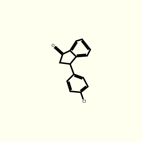 O=C1CC(c2ccc(Cl)cc2)c2ccccc21